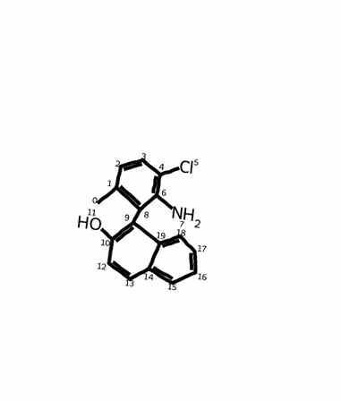 Cc1ccc(Cl)c(N)c1-c1c(O)ccc2ccccc12